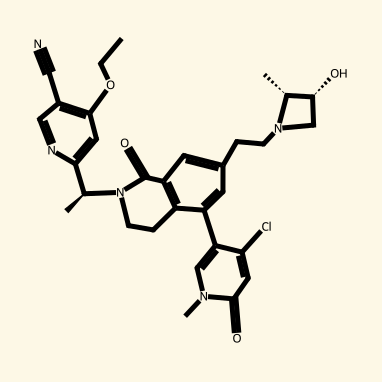 CCOc1cc([C@H](C)N2CCc3c(cc(CCN4C[C@@H](O)[C@H]4C)cc3-c3cn(C)c(=O)cc3Cl)C2=O)ncc1C#N